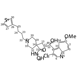 COc1ccc2ncc(Cl)c([C@H](O)CCC3(C(=O)NO)CCN(CCCCc4ccsc4)CC3)c2c1